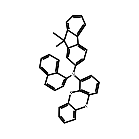 CC1(C)c2ccccc2-c2ccc(N(c3cccc4c3Sc3ccccc3S4)c3cccc4ccccc34)cc21